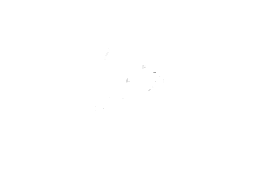 C=CC12CC[C@@H](C)[C@@](C)(C(C)=O)C1C1(CC2)OCCO1